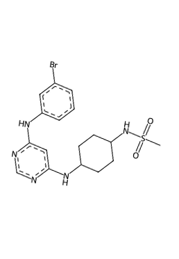 CS(=O)(=O)NC1CCC(Nc2cc(Nc3cccc(Br)c3)ncn2)CC1